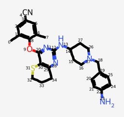 Cc1cc(C#N)cc(C)c1Oc1nc(NC2CCN(Cc3ccc(N)cc3)CC2)nc2c1SCCC2